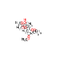 CC[C@H]1[C@@H](OCOC)C2C3CC[C@H]([C@H](C)C[C@@H](O)C(=O)OC)[C@@]3(C)[C@@H](OCOC)CC2[C@@]2(C)CC[C@@H](OCOC)C[C@@H]12